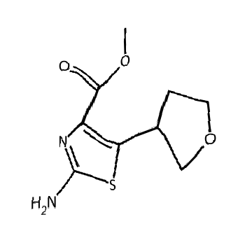 COC(=O)c1nc(N)sc1C1CCOC1